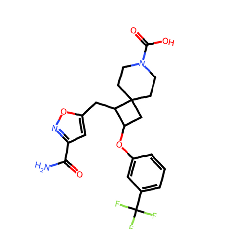 NC(=O)c1cc(CC2C(Oc3cccc(C(F)(F)F)c3)CC23CCN(C(=O)O)CC3)on1